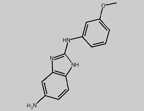 COc1cccc(Nc2nc3cc(N)ccc3[nH]2)c1